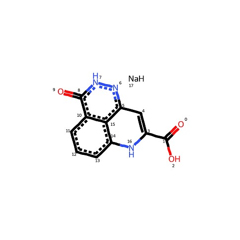 O=C(O)C1=Cc2n[nH]c(=O)c3cccc(c23)N1.[NaH]